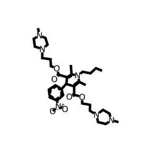 CCCCN1C(C)=C(C(=O)OCCCN2CCN(C)CC2)C(c2cccc([N+](=O)[O-])c2)C(C(=O)OCCCN2CCN(C)CC2)=C1C